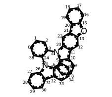 c1ccc(-n2c3ccccc3c3cc4oc5ccccc5c4cc32)c(-n2c3ccccc3c3ccccc32)c1